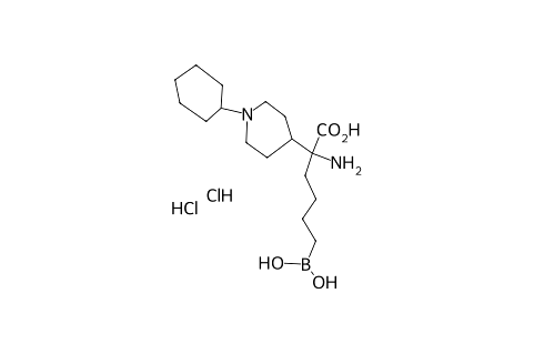 Cl.Cl.NC(CCCCB(O)O)(C(=O)O)C1CCN(C2CCCCC2)CC1